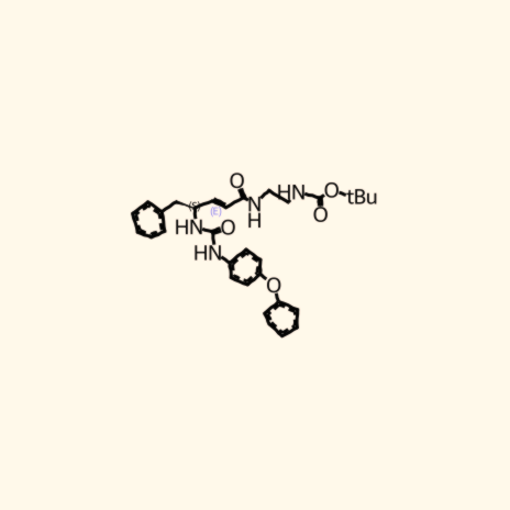 CC(C)(C)OC(=O)NCCNC(=O)/C=C/[C@H](Cc1ccccc1)NC(=O)Nc1ccc(Oc2ccccc2)cc1